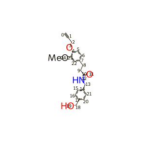 C#CCOc1ccc(CCC(=O)NCc2ccc(CO)cc2)cc1OC